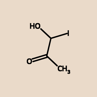 CC(=O)C(O)I